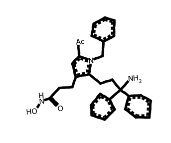 CC(=O)c1cc(CCC(=O)NO)c(CCC(N)(c2ccccc2)c2ccccc2)n1Cc1ccccc1